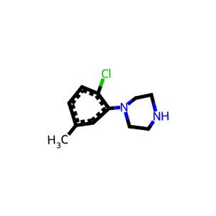 Cc1ccc(Cl)c(N2CCNCC2)c1